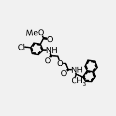 COC(=O)c1cc(Cl)ccc1NC(=O)COCC(=O)NC(C)c1cccc2ccccc12